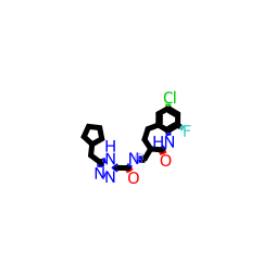 O=C(/N=C/C1CCc2cc(Cl)cc(F)c2NC1=O)c1nnc(CC2CCCC2)[nH]1